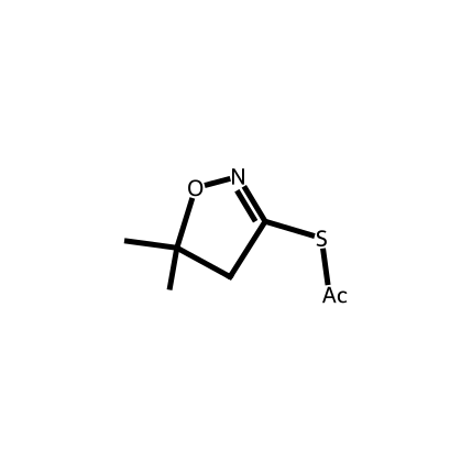 CC(=O)SC1=NOC(C)(C)C1